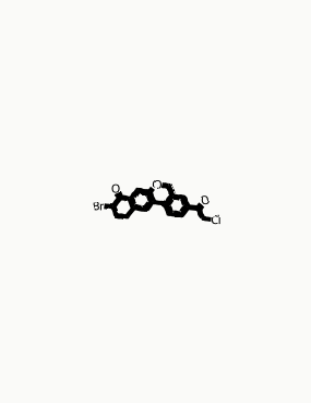 O=C(CCl)c1ccc2c(c1)COc1cc3c(cc1-2)CCC(Br)C3=O